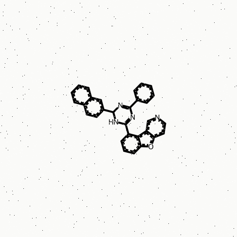 c1ccc(C2=NC(c3ccc4ccccc4c3)NC(c3cccc4oc5ccncc5c34)=N2)cc1